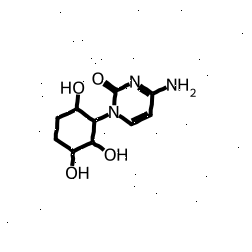 Nc1ccn(C2C(O)CCC(O)C2O)c(=O)n1